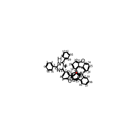 c1ccc(C2=NC(c3ccc4oc5cccc(-c6cccc7oc8cccc(-n9c%10ccccc%10c%10ccccc%109)c8c67)c5c4c3)=NC(c3ccccc3)N2)cc1